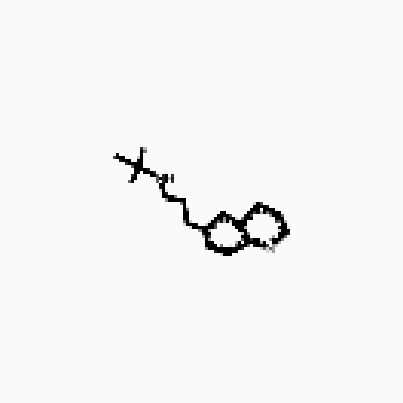 CC(C)(C)NCCCc1ccc2ncccc2c1